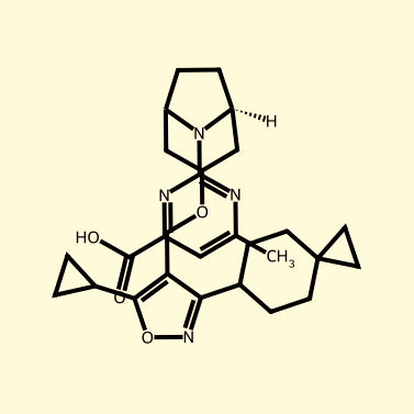 Cc1cc(C(=O)O)nc(N2C3CC[C@H]2CC(OCc2c(C4CCC5(CC4)CC5)noc2C2CC2)C3)n1